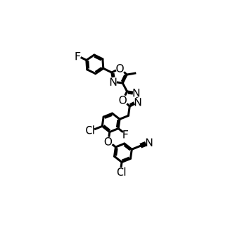 Cc1oc(-c2ccc(F)cc2)nc1-c1nnc(Cc2ccc(Cl)c(Oc3cc(Cl)cc(C#N)c3)c2F)o1